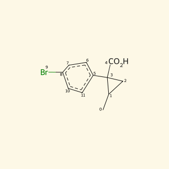 CC1CC1(C(=O)O)c1ccc(Br)cc1